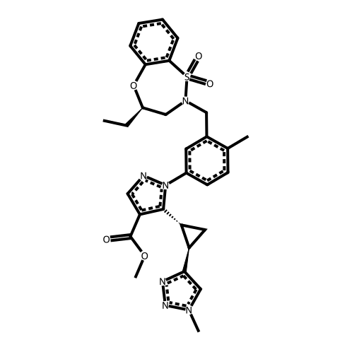 CC[C@@H]1CN(Cc2cc(-n3ncc(C(=O)OC)c3[C@@H]3C[C@H]3c3cn(C)nn3)ccc2C)S(=O)(=O)c2ccccc2O1